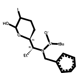 CC[C@H]([C@@H]1CCC(I)C(O)O1)N(Cc1ccccc1)[S+]([O-])C(C)(C)C